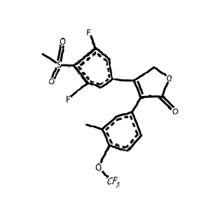 Cc1cc(C2=C(c3cc(F)c(S(C)(=O)=O)c(F)c3)COC2=O)ccc1OC(F)(F)F